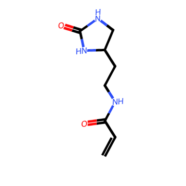 C=CC(=O)NCCC1CNC(=O)N1